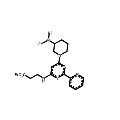 CCOC(=O)CCNc1cc(N2CCCC(N(CC)CC)C2)nc(-c2ccccn2)n1